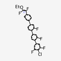 CCO/C(F)=C(\F)c1ccc(-c2ccc(-c3ccc(-c4cc(F)c(Cl)c(F)c4)c(F)c3)c(F)c2)cc1